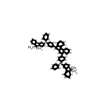 CC1(C)c2ccccc2-c2cc(N(c3ccccc3)c3ccc(-c4cc5cc(-c6ccc(N(c7ccccc7)c7ccc8c(c7)-c7ccccc7C8(C)C)cc6)c6ccccc6c5c5ccccc45)cc3)ccc21